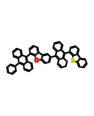 C1=Cc2c(c(-c3cccc4c3sc3ccccc34)c3ccccc3c2-c2ccc3oc4c(-c5c6ccccc6c(-c6ccccc6)c6ccccc56)cccc4c3c2)CC1